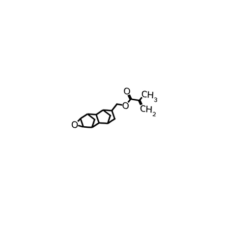 C=C(C)C(=O)OCC1CC2CC1C1C3CC(C4OC34)C21